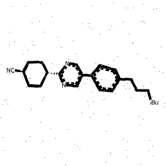 CCC(C)CCCc1ccc(-c2cnc([C@H]3CC[C@H](C#N)CC3)nc2)cc1